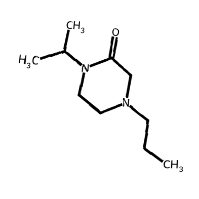 CCCN1CCN(C(C)C)C(=O)C1